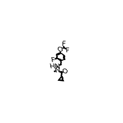 CN(NCc1ccc(OC(F)F)cc1F)C(=O)C1CC1